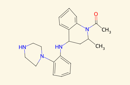 CC(=O)N1c2ccccc2C(Nc2ccccc2N2CCNCC2)CC1C